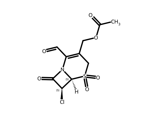 CC(=O)OCC1=C(C=O)N2C(=O)[C@H](Cl)[C@@H]2S(=O)(=O)C1